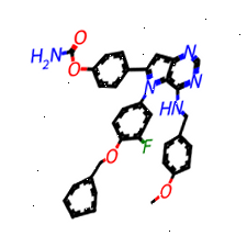 COc1ccc(CNc2ncnc3cc(-c4ccc(OC(N)=O)cc4)n(-c4ccc(OCc5ccccc5)c(F)c4)c23)cc1